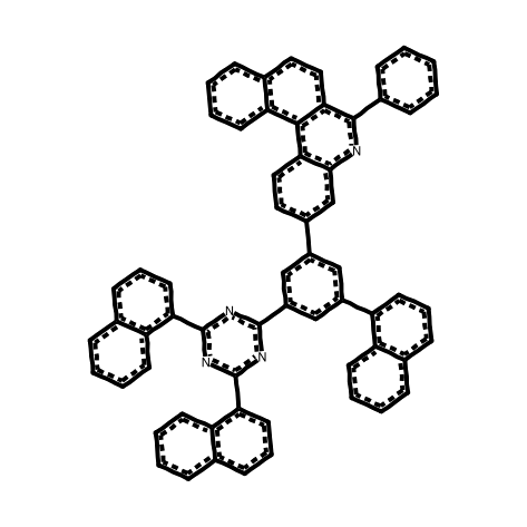 c1ccc(-c2nc3cc(-c4cc(-c5nc(-c6cccc7ccccc67)nc(-c6cccc7ccccc67)n5)cc(-c5cccc6ccccc56)c4)ccc3c3c2ccc2ccccc23)cc1